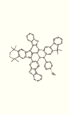 CC(C)(C)c1ccc(N2B3c4cc5c(cc4-n4c6cc7c(cc6c6c8c(oc9ccccc98)c(c3c64)-c3cc4c(cc32)C(C)(C)c2ccccc2-4)C(C)(C)CCC7(C)C)oc2ccccc25)cc1